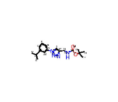 CC(C)c1cccc(-n2cc(CNC(=O)OC(C)(C)C)nn2)c1